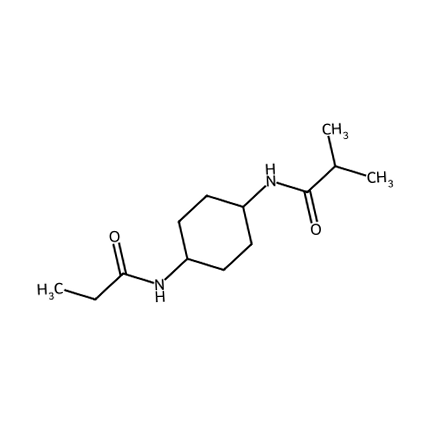 CCC(=O)NC1CCC(NC(=O)C(C)C)CC1